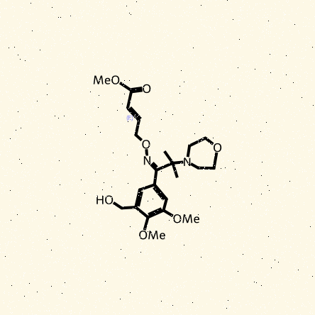 COC(=O)/C=C/CON=C(c1cc(CO)c(OC)c(OC)c1)C(C)(C)N1CCOCC1